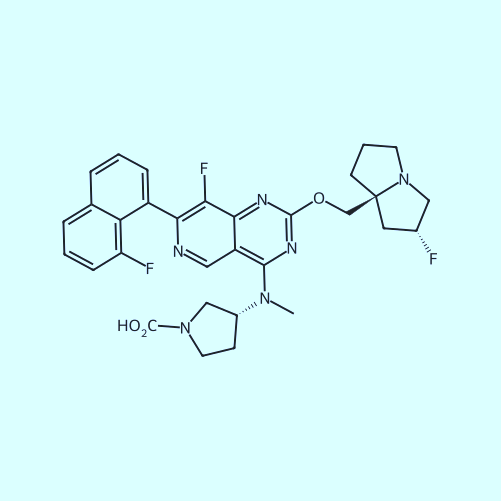 CN(c1nc(OC[C@@]23CCCN2C[C@H](F)C3)nc2c(F)c(-c3cccc4cccc(F)c34)ncc12)[C@@H]1CCN(C(=O)O)C1